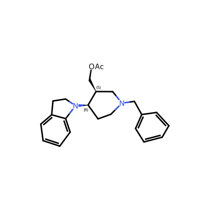 CC(=O)OC[C@H]1CN(Cc2ccccc2)CC[C@H]1N1CCc2ccccc21